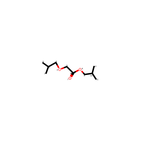 CC(C)COCC(=O)OCC(C)C